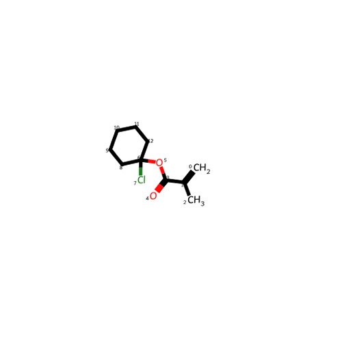 C=C(C)C(=O)OC1(Cl)CCCCC1